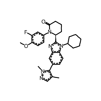 COc1ccc(N2C(=O)CCC[C@H]2c2nc3cc(-c4c(C)cnn4C)ccc3n2C2CCCCC2)cc1F